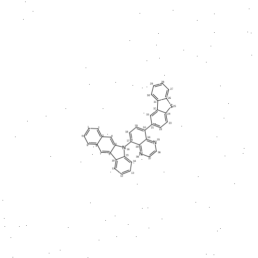 c1ccc2cc3c(cc2c1)c1ccccc1n3-c1ccc(-c2ccc3sc4ccccc4c3c2)c2nccnc12